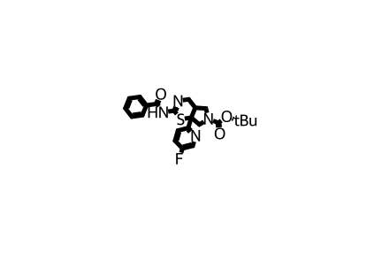 CC(C)(C)OC(=O)N1CC2CN=C(NC(=O)c3ccccc3)SC2(c2ccc(F)cn2)C1